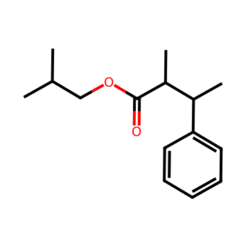 CC(C)COC(=O)C(C)C(C)c1ccccc1